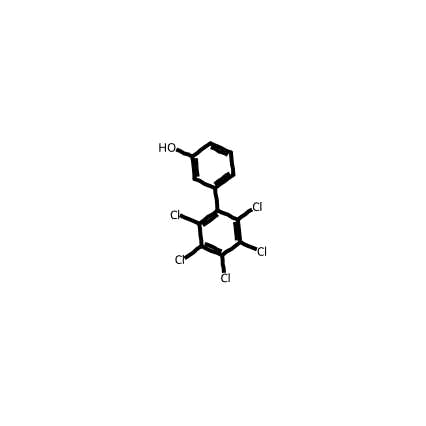 Oc1cccc(-c2c(Cl)c(Cl)c(Cl)c(Cl)c2Cl)c1